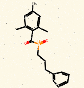 Cc1cc(C(C)(C)C)cc(C)c1C(=O)[PH](=O)CCCc1ccccc1